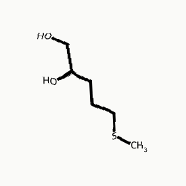 CSCCCC(O)CO